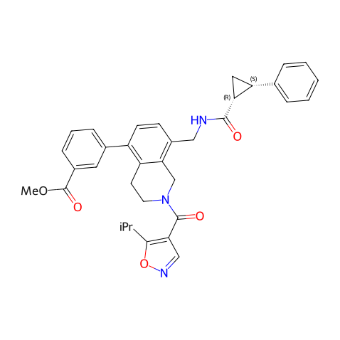 COC(=O)c1cccc(-c2ccc(CNC(=O)[C@@H]3C[C@@H]3c3ccccc3)c3c2CCN(C(=O)c2cnoc2C(C)C)C3)c1